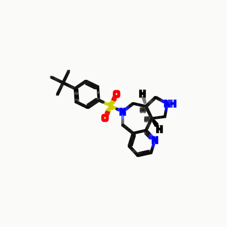 CC(C)(C)c1ccc(S(=O)(=O)N2Cc3cccnc3[C@H]3CNC[C@@H]3C2)cc1